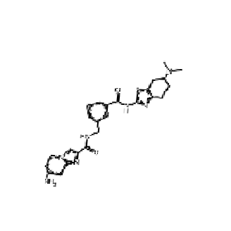 CN(C)[C@H]1CCc2nc(NC(=O)c3cccc(CNC(=O)c4cn5ccc(N)cc5n4)c3)sc2C1